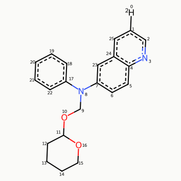 [2H]c1cnc2ccc(N(COC3CCCCO3)c3ccccc3)cc2c1